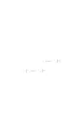 SO[SiH2]S